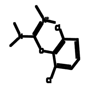 CN(C)C(Oc1c(Cl)cccc1Cl)=[N+](C)C